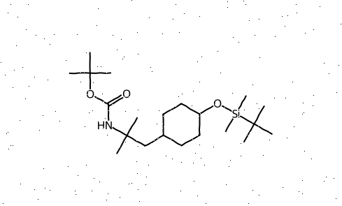 CC(C)(CC1CCC(O[Si](C)(C)C(C)(C)C)CC1)NC(=O)OC(C)(C)C